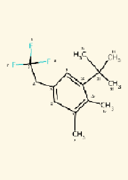 Cc1cc(CC(F)(F)F)cc(C(C)(C)C)c1C